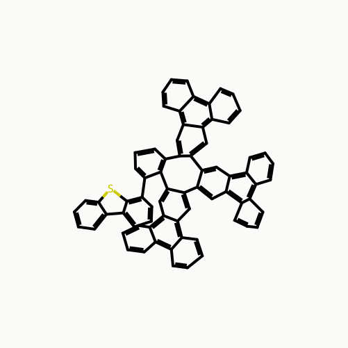 c1cc2c(c(-c3cccc4c3sc3ccccc34)c1)-c1cc3c4ccccc4c4ccccc4c3cc1-c1cc3c4ccccc4c4ccccc4c3cc1-c1cc3c4ccccc4c4ccccc4c3cc1-2